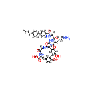 CCCCc1ccc(-c2ccc(C(=O)N[C@H](C)C(=O)N[C@@H](CCCCN)C(=O)N(C)[C@@H]3C(=O)N[C@@H](C)C(=O)N[C@H](C(=O)O)Cc4ccc(O)c(c4)-c4cc3ccc4O)cc2)cc1